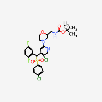 CC(C)(C)OC(=O)NCC1CN(c2cc(C(c3cc(F)ccc3F)S(=O)(=O)c3ccc(Cl)cc3)c(Cl)cn2)CCO1